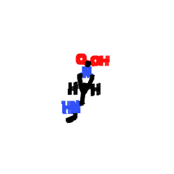 CCNCC1[C@H]2CN(C(=O)O)C[C@@H]12